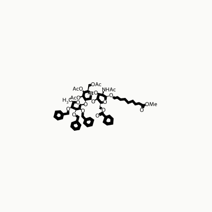 COC(=O)CCCCCCCCO[C@@H]1O[C@H](COC(=O)c2ccccc2)[C@@H](O[C@H]2O[C@H](COC(C)=O)[C@H](OC(C)=O)[C@H](OC(C)=O)[C@H]2O[C@@H]2O[C@@H](C)[C@@H](OCc3ccccc3)[C@@H](OCc3ccccc3)[C@@H]2OCc2ccccc2)[C@H](OC(C)=O)[C@H]1NC(C)=O